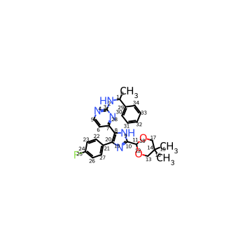 CC(Nc1nccc(-c2[nH]c(C3OCC(C)(C)CO3)nc2-c2ccc(F)cc2)n1)c1ccccc1